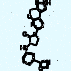 O=C1C(Nc2cccc(-c3cnco3)c2)CCN1c1ccc2c(n1)OCc1n[nH]cc1-2